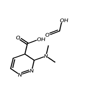 CN(C)C1N=NC=CC1C(=O)O.O=CO